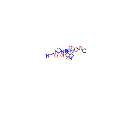 Cc1cc(Oc2ccccc2)ccc1N1C(=O)Nc2c(C(=O)NC3CCCN(C(=O)C=CCN(C)C)C3)sc3nccc1c23